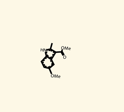 COC(=O)c1c(C)[nH]c2ccc(OC)cc12